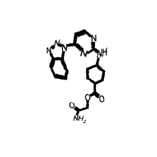 NC(=O)COC(=O)C1CCC(Nc2nccc(-n3nnc4ccccc43)n2)CC1